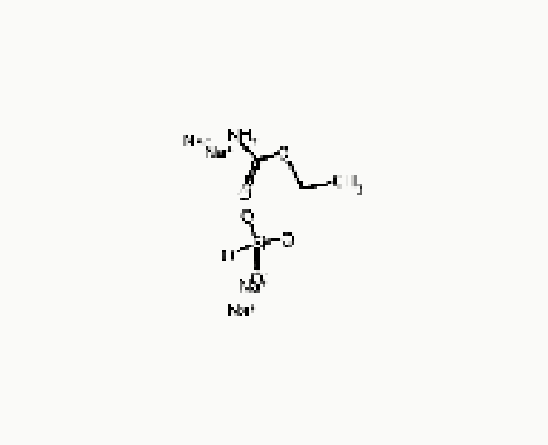 CCOC(N)=O.[Na+].[Na+].[Na+].[Na+].[O-][Si]([O-])([O-])[O-]